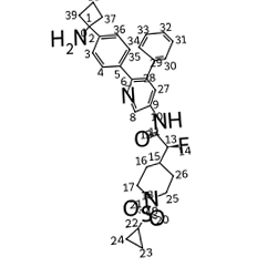 NC1(c2ccc(-c3ncc(NC(=O)[C@@H](F)C4CCN(S(=O)(=O)C5CC5)CC4)cc3-c3ccccc3)cc2)CCC1